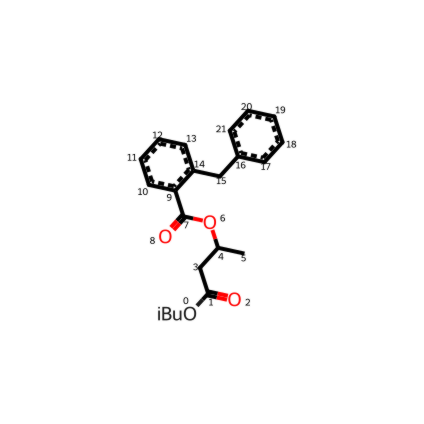 CC(C)COC(=O)CC(C)OC(=O)c1ccccc1Cc1ccccc1